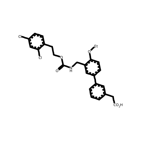 CCOc1ccc(-c2cccc(CC(=O)O)c2)cc1CNC(=O)OCCc1ccc(Cl)cc1Cl